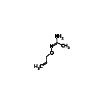 C=CCO/N=C(\C)N